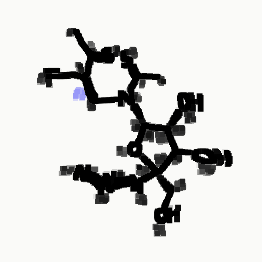 CC(=S)/C(F)=C\N(C(C)=S)[C@@H]1O[C@@](CO)(N=[N+]=[N-])C(O)[C@@H]1O